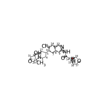 C[C@]1(N2CCC(c3cc4cc(NC(=O)[C@@H]5[C@@H]6CCOC[C@@H]65)ncc4cc3Cl)CC2)COC[C@H]1O